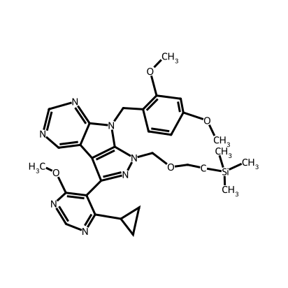 COc1ccc(Cn2c3ncncc3c3c(-c4c(OC)ncnc4C4CC4)nn(COCC[Si](C)(C)C)c32)c(OC)c1